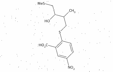 CSCC(O)C(C)CSc1ccc([N+](=O)[O-])cc1C(=O)O